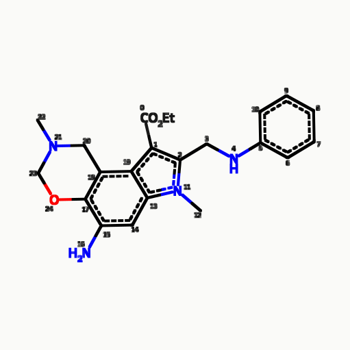 CCOC(=O)c1c(CNc2ccccc2)n(C)c2cc(N)c3c(c12)CN(C)CO3